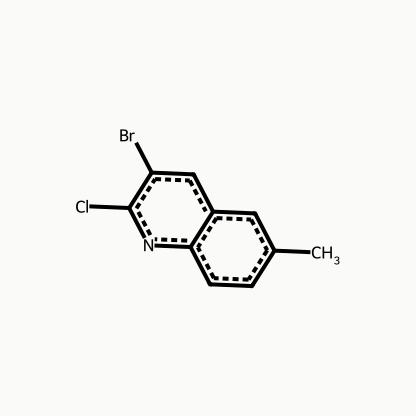 Cc1ccc2nc(Cl)c(Br)cc2c1